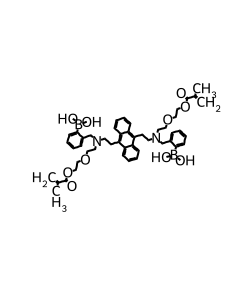 C=C(C)C(=O)OCCOCCN(CCc1c2ccccc2c(CCN(CCOCCOC(=O)C(=C)C)Cc2ccccc2B(O)O)c2ccccc12)Cc1ccccc1B(O)O